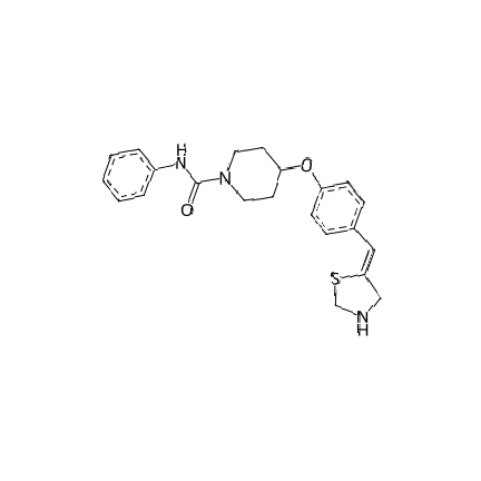 O=C(Nc1ccccc1)N1CCC(Oc2ccc(C=C3CNCS3)cc2)CC1